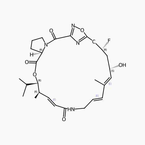 CC1=C\[C@@H](O)C[C@@H](F)Cc2nc(no2)C(=O)N2CCC[C@@H]2C(=O)O[C@H](C(C)C)[C@H](C)/C=C/C(=O)NC\C=C\1